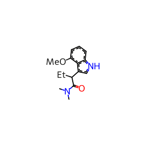 CCC(C(=O)N(C)C)c1c[nH]c2cccc(OC)c12